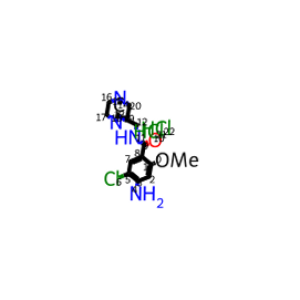 COc1cc(N)c(Cl)cc1C(=O)NCC1CN2CCN1CC2.Cl.Cl